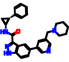 O=C(N[C@@H]1C[C@@H]1c1ccccc1)c1n[nH]c2ccc(-c3cncc(CN4CCCCC4)c3)cc12